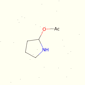 CC(=O)OC1CCCN1